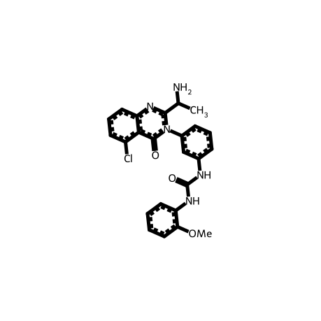 COc1ccccc1NC(=O)Nc1cccc(-n2c(C(C)N)nc3cccc(Cl)c3c2=O)c1